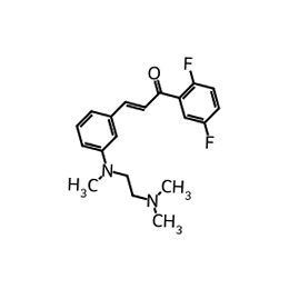 CN(C)CCN(C)c1cccc(C=CC(=O)c2cc(F)ccc2F)c1